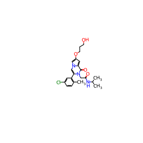 Cc1ccc(Cl)cc1-c1cn2cc(OCCCO)cc2c(=O)n1CC(=O)NC(C)C